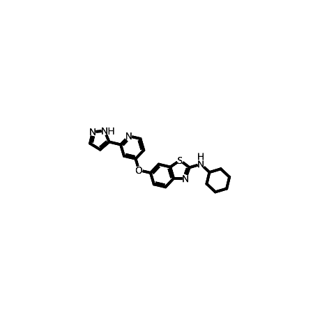 c1cc(-c2cc(Oc3ccc4nc(NC5CCCCC5)sc4c3)ccn2)[nH]n1